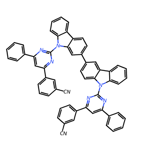 N#Cc1cccc(-c2cc(-c3ccccc3)nc(-n3c4ccccc4c4cc(-c5ccc6c7ccccc7n(-c7nc(-c8ccccc8)cc(-c8cccc(C#N)c8)n7)c6c5)ccc43)n2)c1